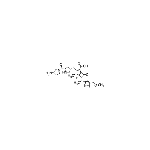 COCc1cn(C(C)[C@H]2C(=O)N3C(C(=O)O)=C(S[C@@H]4CN[C@H](C(=O)N5CC[C@@H](N)C5)C4)[C@H](C)[C@H]23)nn1